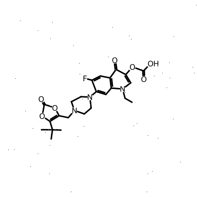 CCn1cc(OC(=O)O)c(=O)c2cc(F)c(N3CCN(Cc4oc(=O)oc4C(C)(C)C)CC3)cc21